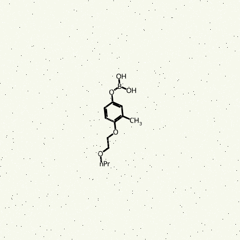 CCCOCCOc1ccc(OB(O)O)cc1C